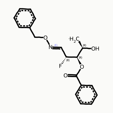 [CH2][C@@H](O)[C@@H](OC(=O)c1ccccc1)[C@H](F)/C=N/OCc1ccccc1